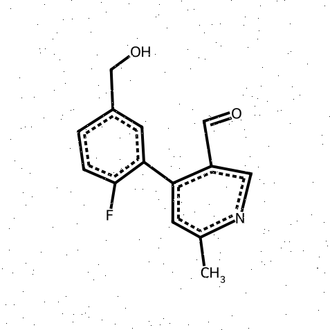 Cc1cc(-c2cc(CO)ccc2F)c(C=O)cn1